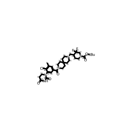 Cc1cc(C(=O)N2CCC3(CCN(CC4CCN(C(=O)OC(C)(C)C)CC4(F)F)CC3)CC2)cc(N2CCC(=O)NC2=O)c1Cl